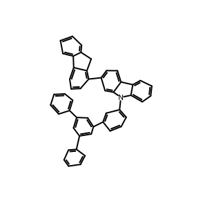 c1ccc(-c2cc(-c3ccccc3)cc(-c3cccc(-n4c5ccccc5c5ccc(-c6cccc7c6Cc6ccccc6-7)cc54)c3)c2)cc1